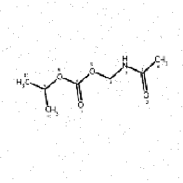 CC(=O)NCOC(=O)OC(C)C